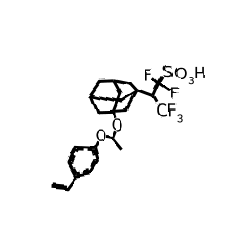 C=Cc1ccc(OC(C)OC23CC4CC(C2)CC(C(C(F)(F)F)C(F)(F)S(=O)(=O)O)(C4)C3)cc1